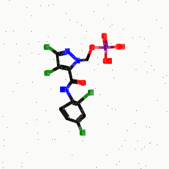 O=C(Nc1ccc(Cl)cc1Cl)c1c(Cl)c(Cl)nn1COP(=O)(O)O